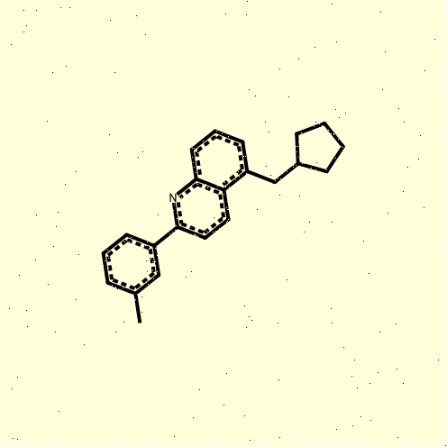 Cc1cccc(-c2ccc3c(CC4CCCC4)cccc3n2)c1